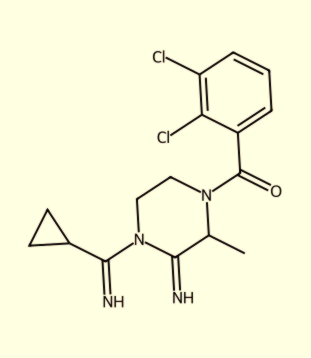 CC1C(=N)N(C(=N)C2CC2)CCN1C(=O)c1cccc(Cl)c1Cl